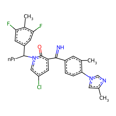 CCCC(c1cc(F)c(C)c(F)c1)n1cc(Cl)cc(C(=N)c2ccc(-n3cnc(C)c3)c(C)c2)c1=O